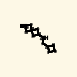 C1CC(CNC2CC3(CNC3)C2)C1